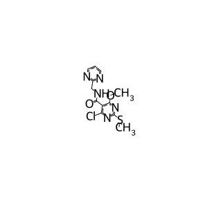 COc1nc(SC)nc(Cl)c1C(=O)NCc1ncccn1